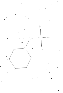 FS(F)(F)NN1CCCCC1